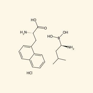 CC(C)C[C@H](N)B(O)O.Cl.N[C@@H](Cc1cccc2ccccc12)C(=O)O